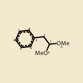 COC(Cc1cc[c]cc1)OC